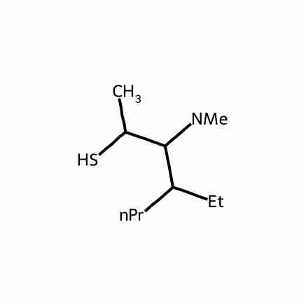 CCCC(CC)C(NC)C(C)S